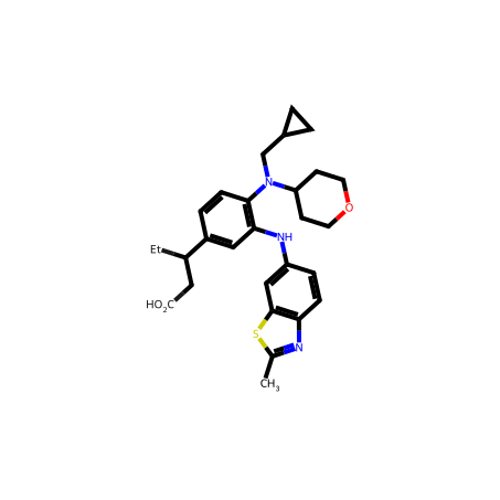 CCC(CC(=O)O)c1ccc(N(CC2CC2)C2CCOCC2)c(Nc2ccc3nc(C)sc3c2)c1